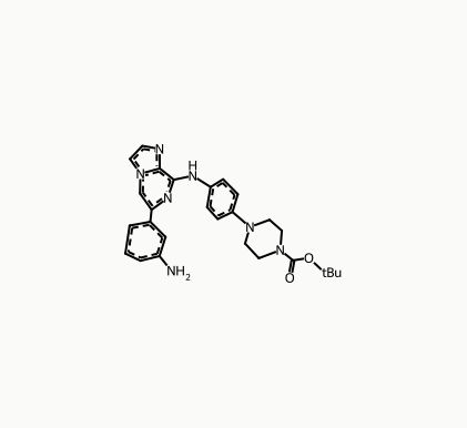 CC(C)(C)OC(=O)N1CCN(c2ccc(Nc3nc(-c4cccc(N)c4)cn4ccnc34)cc2)CC1